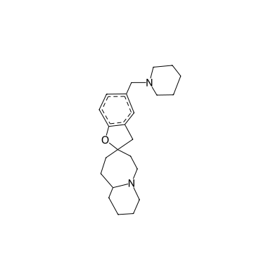 c1cc2c(cc1CN1CCCCC1)CC1(CCC3CCCCN3CC1)O2